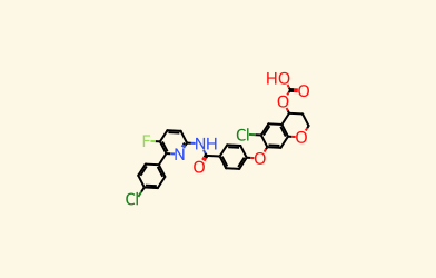 O=C(O)OC1CCOc2cc(Oc3ccc(C(=O)Nc4ccc(F)c(-c5ccc(Cl)cc5)n4)cc3)c(Cl)cc21